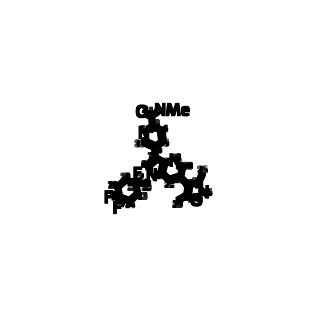 CNC(=O)c1ccc(-c2cn(CC3(F)CCC(F)(F)CC3)c3cc(-c4c(C)noc4C)cnc23)cn1